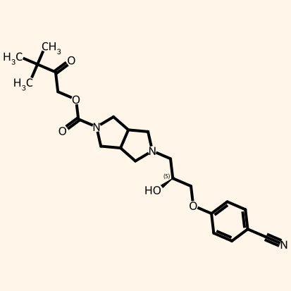 CC(C)(C)C(=O)COC(=O)N1CC2CN(C[C@H](O)COc3ccc(C#N)cc3)CC2C1